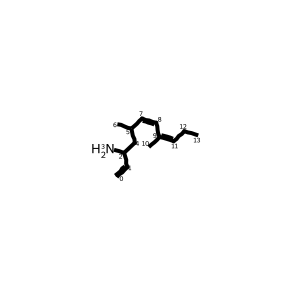 C=CC(N)CC(C)/C=C\C(C)=C/CC